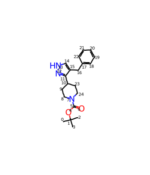 CC(C)(C)OC(=O)N1CCC(c2n[nH]cc2Cc2ccccc2)CC1